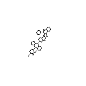 Fc1ccc(-c2c3ccccc3c(-c3ccc4c(c3)oc3nc5c6ccccc6nc(-c6ccccc6)c5n34)c3ccccc23)c(F)n1